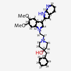 COc1cc2c(-c3cc4cccnc4[nH]3)cn(CCN3CCC(O)(Cc4ccccc4)CC3)c2cc1OC